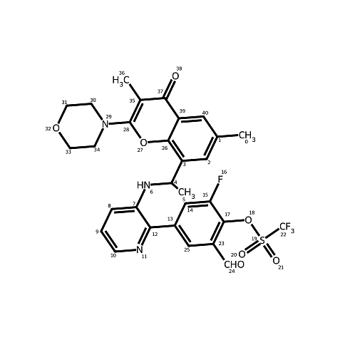 Cc1cc(C(C)Nc2cccnc2-c2cc(F)c(OS(=O)(=O)C(F)(F)F)c(C=O)c2)c2oc(N3CCOCC3)c(C)c(=O)c2c1